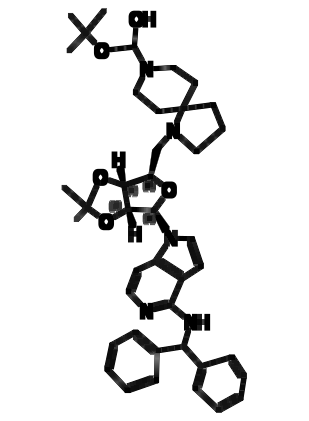 CC(C)(C)OC(O)N1CCC2(CCCN2C[C@H]2O[C@@H](n3ccc4c(NC(c5ccccc5)c5ccccc5)nccc43)[C@@H]3OC(C)(C)O[C@@H]32)CC1